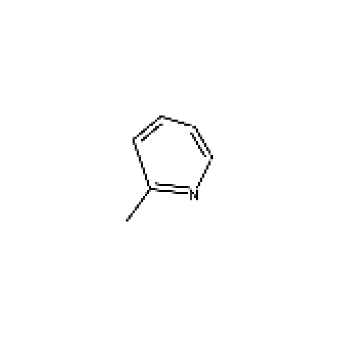 [CH2]c1ccc[c]n1